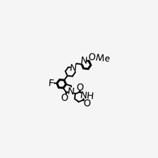 COc1cccc(CN2CCC(c3cc(F)cc4c3CN(C3CCC(=O)NC3=O)C4=O)CC2)n1